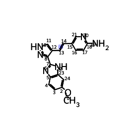 COc1ccc2nc(-c3n[nH]cc3/C=C/c3ccc(N)nc3)[nH]c2c1